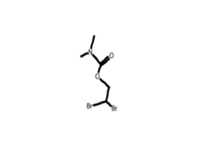 CN(C)C(=O)OCC(Br)Br